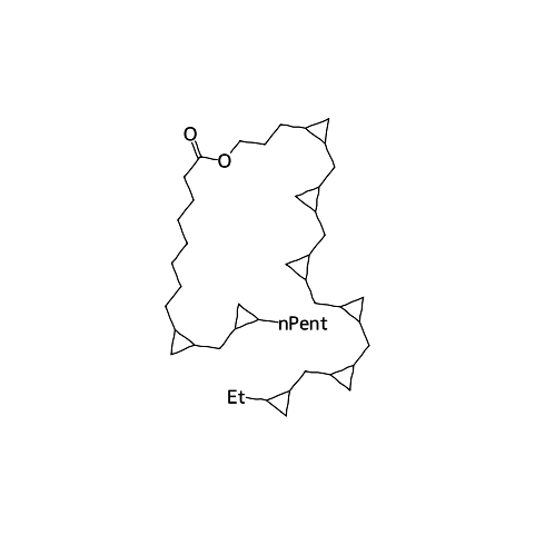 CCCCCC1CC1CC1CC1CCCCCCCC(=O)OCCCC1CC1CC1CC1CC1CC1CC1CC1CC1CC1CC1CC1CC